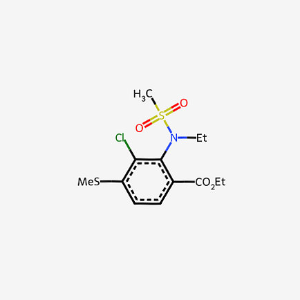 CCOC(=O)c1ccc(SC)c(Cl)c1N(CC)S(C)(=O)=O